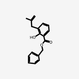 C=C(C)Cc1cccc(C(=O)OCc2ccccc2)c1O